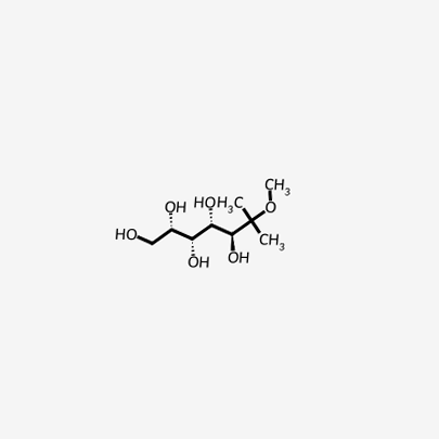 COC(C)(C)[C@@H](O)[C@@H](O)[C@H](O)[C@@H](O)CO